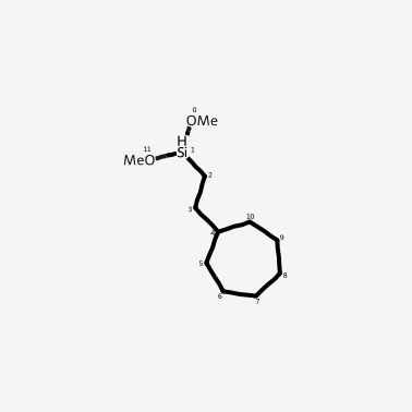 CO[SiH](CCC1CCCCCC1)OC